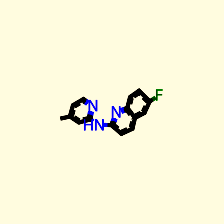 Cc1ccnc(Nc2ccc3cc(F)ccc3n2)c1